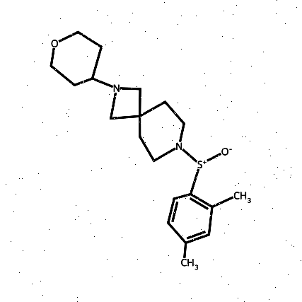 Cc1ccc([S+]([O-])N2CCC3(CC2)CN(C2CCOCC2)C3)c(C)c1